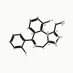 Fc1ccccc1C1=NCc2nnc(CCl)n2-c2c(F)cccc21